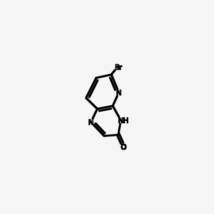 O=c1cnc2ccc(Br)nc2[nH]1